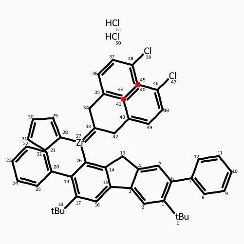 CC(C)(C)c1cc2c(cc1-c1ccccc1)Cc1c-2cc(C(C)(C)C)c(-c2ccccc2)[c]1[Zr]([C]1=CC=CC1)=[C](Cc1ccc(Cl)cc1)Cc1ccc(Cl)cc1.Cl.Cl